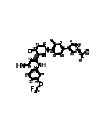 Cc1cc(-c2cnn(C(F)F)c2)ccc1-n1ccc(=O)c(/C(=C/C=N)Nc2cccc(OC(F)(F)F)c2)n1